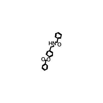 O=C(NCCc1ccc(OC(=O)c2ccccc2)cc1)c1ccccc1